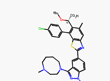 Cc1cc2nc(-c3ccc4c(c3)c(N3CCCCN(C)CC3)nn4C)sc2c(-c2ccc(Cl)cc2)c1[C@H](OC(C)(C)C)C(=O)O